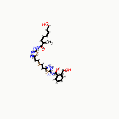 C=C(/C=C\C=C/CCO)C(=O)Nc1nnc(CCSCCc2nnc(NC(=O)c3ccccc3CO)s2)s1